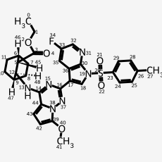 CCOC(=O)[C@H]1[C@H]2CC[C@H](CC2)[C@@H]1Nc1nc(-c2cn(S(=O)(=O)c3ccc(C)cc3)c3ncc(F)cc23)nn2c(OC)ccc12